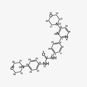 O=C(Nc1ccc(-c2nccc(N3CCOCC3)n2)cc1)Nc1ccc(N2CCOCC2)cc1